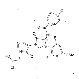 COc1cc(F)c([C@@H]2CN(c3cncn(CC(O)C(F)(F)F)c3=O)C(=O)[C@H]2NC(=O)c2ccc(Cl)cc2)c(F)c1